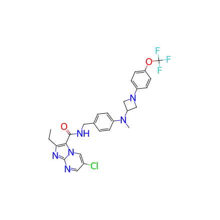 CCc1nc2ncc(Cl)cn2c1C(=O)NCc1ccc(N(C)C2CN(c3ccc(OC(F)(F)F)cc3)C2)cc1